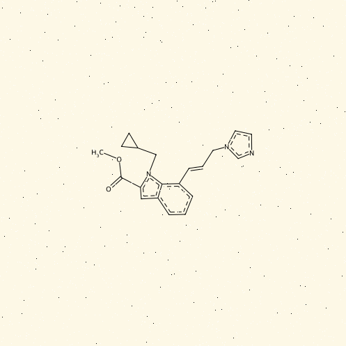 COC(=O)c1cc2cccc(/C=C/Cn3ccnc3)c2n1CC1CC1